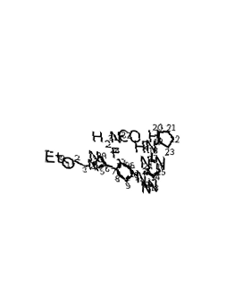 CCOCCn1cc(-c2ccc(-n3nnc4cnc(NC5CCCC5)nc43)cc2F)cn1.NC(=O)O